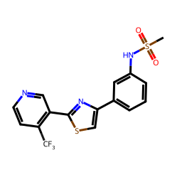 CS(=O)(=O)Nc1cccc(-c2csc(-c3cnccc3C(F)(F)F)n2)c1